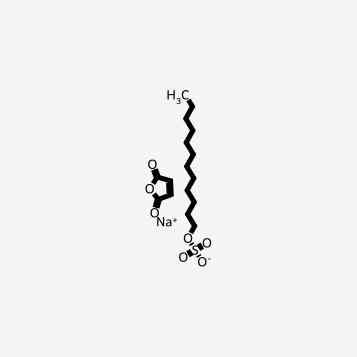 CCCCCCCCCCCCOS(=O)(=O)[O-].O=C1C=CC(=O)O1.[Na+]